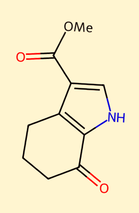 COC(=O)c1c[nH]c2c1CCCC2=O